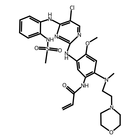 C=CC(=O)Nc1cc(Nc2ncc(Cl)c(Nc3ccccc3NS(C)(=O)=O)n2)c(OC)cc1N(C)CCN1CCOCC1